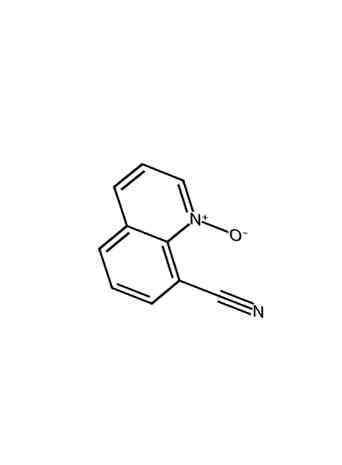 N#Cc1cccc2ccc[n+]([O-])c12